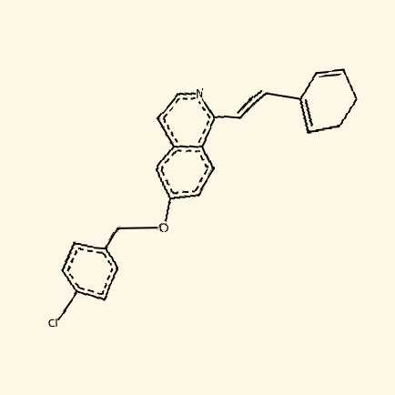 Clc1ccc(COc2ccc3c(C=CC4=CCCC=C4)nccc3c2)cc1